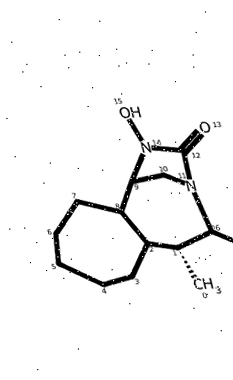 C[C@@H]1C2CCCCCC2C2CN(C(=O)N2O)C1I